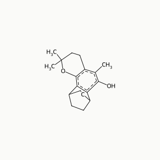 Cc1c(O)c2c(c3c1CCC(C)(C)O3)C1CCC2CC1